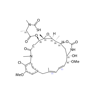 COc1cc2cc(c1Cl)N(C)C(=O)C[C@@H](OC(=O)[C@H](C)N(C)C(=O)S)[C@]1(C)O[C@H]1[C@H](C)[C@@H]1C[C@@](O)(NC(=O)O1)[C@H](OC)/C=C/C=C(\C)C2